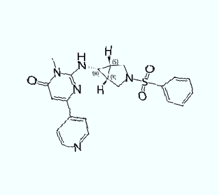 Cn1c(N[C@@H]2[C@@H]3CN(S(=O)(=O)c4ccccc4)C[C@@H]32)nc(-c2ccncc2)cc1=O